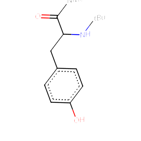 CNC(=O)C(Cc1ccc(O)cc1)NC(C)(C)C